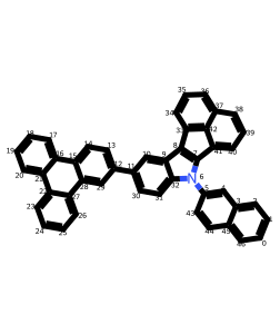 c1ccc2cc(-n3c4c(c5cc(-c6ccc7c8ccccc8c8ccccc8c7c6)ccc53)-c3cccc5cccc-4c35)ccc2c1